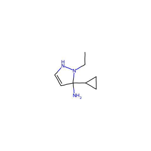 CCN1NC=CC1(N)C1CC1